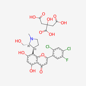 CN1CC[C@@H](c2c(O)cc(O)c3c(=O)cc(-c4cc(F)c(Cl)cc4Cl)oc23)[C@@H]1CO.O=C(O)CC(O)(CC(=O)O)C(=O)O